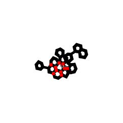 c1ccc(-c2ccc(-c3ccccc3N(c3ccc(-c4cccc5ccccc45)cc3)c3ccccc3-c3ccccc3-n3c4ccccc4c4cc5ccccc5cc43)cc2)cc1